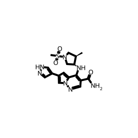 C[C@@H]1CN(S(C)(=O)=O)C[C@H]1Nc1c(C(N)=O)cnn2cc(-c3cn[nH]c3)cc12